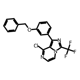 FC(F)(F)c1nc(-c2cccc(OCc3ccccc3)c2)c2c(Cl)nccn12